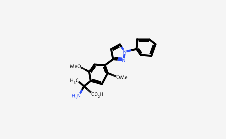 COc1cc(C(C)(N)C(=O)O)c(OC)cc1-c1ccn(-c2ccccc2)n1